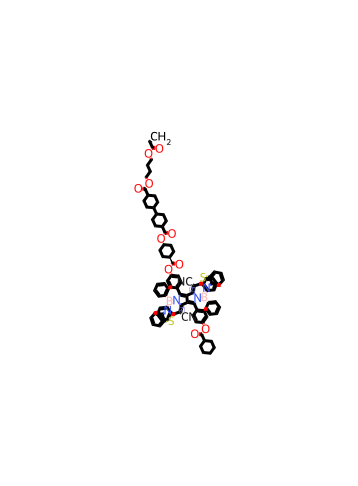 C=CC(=O)OCCCCOC(=O)C1CCC(C2CCC(C(=O)O[C@H]3CC[C@H](C(=O)Oc4ccc(-c5c6/c(=C(\C#N)c7nc8ccccc8s7)n(B(c7ccccc7)c7ccccc7)c(-c7ccc(OC(=O)C8CCCCC8)cc7)c6/c(=C(\C#N)c6nc7ccccc7s6)n5B(c5ccccc5)c5ccccc5)cc4)CC3)CC2)CC1